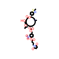 C=CC[C@H]1C(=O)C(C)(C)[C@@H](O)CC(=O)O[C@H](c2ccc3sc(C)nc3c2)C/C=C(/C)CCC[C@H](C)[C@@H]1OC(=O)OCc1ccc(OC(=O)CCCN2C(=O)C=CC2=O)c([N+](=O)[O-])c1